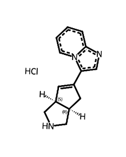 C1=C(c2cnc3ccccn23)C[C@H]2CNC[C@@H]12.Cl